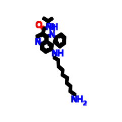 CC(C)NC(=O)c1cnc2ccc(NCCCCCCCCCCN)cc2c1Nc1ccccc1